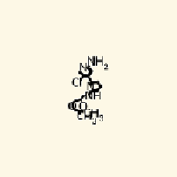 CC1(C)COCC(CNc2cccc(-c3cc(N)ncc3Cl)n2)O1